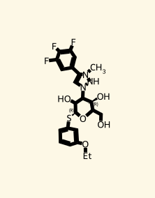 CCOc1cccc(S[C@H]2OC(CO)[C@H](O)C(N3C=C(c4cc(F)c(F)c(F)c4)N(C)N3)C2O)c1